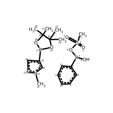 CS(=O)(=O)OB(O)c1ccccc1.Cn1cc(B2OC(C)(C)C(C)(C)O2)cn1